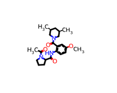 COc1ccc(NC(=O)C2CCCN2C(C)=O)c(C(=O)N2C[C@H](C)C[C@H](C)C2)c1